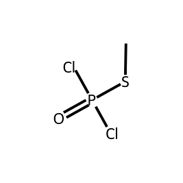 CSP(=O)(Cl)Cl